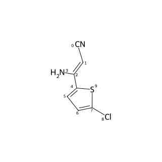 N#C/C=C(\N)c1ccc(Cl)s1